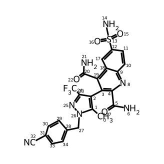 Cc1c(-c2c(C(N)=O)nc3ccc(S(N)(=O)=O)cc3c2C(N)=O)c(C(F)(F)F)nn1Cc1ccc(C#N)cc1